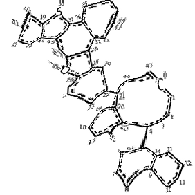 c1cccc(-c2cccc3ccccc23)c2ccccc2c(-c2ccc3oc4c(c3c2)c2ccccc2c2sc3ccccc3c42)cc1